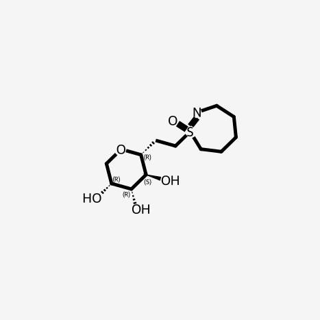 O=S1(CC[C@H]2OC[C@@H](O)[C@@H](O)[C@@H]2O)=NCCCCC1